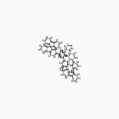 c1ccc(-c2ccccc2-c2nc(-c3ccc4c(c3)C3(c5ccccc5-c5ccccc53)c3ccccc3-4)nc(-c3cc4oc5ccc6c7ccccc7n7c8ccccc8c(c3)c4c5c67)n2)cc1